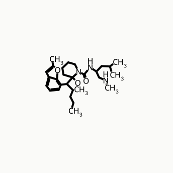 CCCCC(c1cccc2cc(C)oc12)C1(OC)CCCCN1C(=O)NC(CNC)CC(C)C